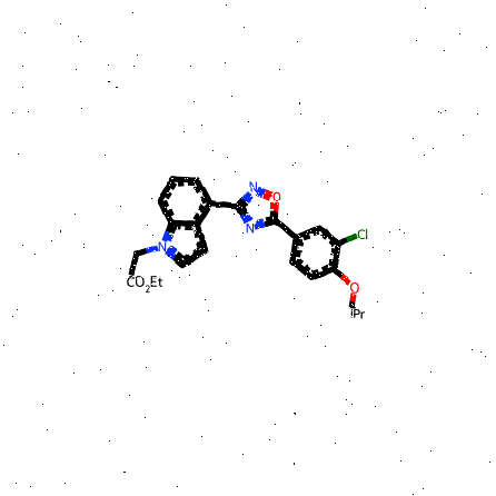 CCOC(=O)Cn1ccc2c(-c3noc(-c4ccc(OC(C)C)c(Cl)c4)n3)cccc21